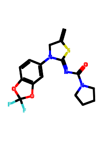 C=C1CN(c2ccc3c(c2)OC(F)(F)O3)C(=NC(=O)N2CCCC2)S1